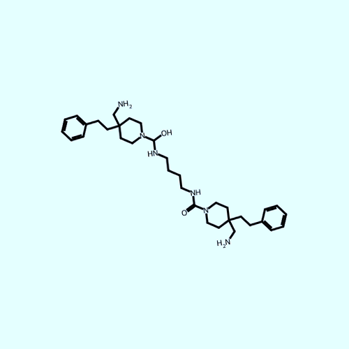 NCC1(CCc2ccccc2)CCN(C(=O)NCCCCNC(O)N2CCC(CN)(CCc3ccccc3)CC2)CC1